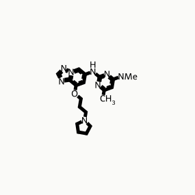 CNc1cc(C)nc(Nc2cc(OCCCN3CCCC3)c3ncnn3c2)n1